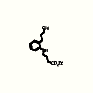 CCOC(=O)CCCNc1ccccc1CCCO